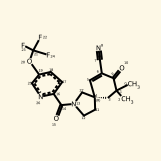 CC1(C)C[C@]2(C=C(C#N)C1=O)CCN(C(=O)c1ccc(OC(F)(F)F)cn1)C2